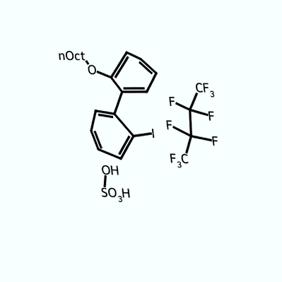 CCCCCCCCOc1ccccc1-c1ccccc1I.FC(F)(F)C(F)(F)C(F)(F)C(F)(F)F.O=S(=O)(O)O